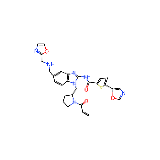 C=CC(=O)N1CCCC1Cn1c(NC(=O)c2ccc(-c3cnco3)s2)nc2cc(CNCc3ncco3)ccc21